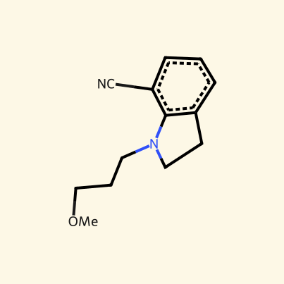 COCCCN1CCc2cccc(C#N)c21